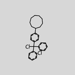 Clc1ccccc1C(Cl)(c1ccccc1)c1ccc(C2CCCCCCCC2)cc1